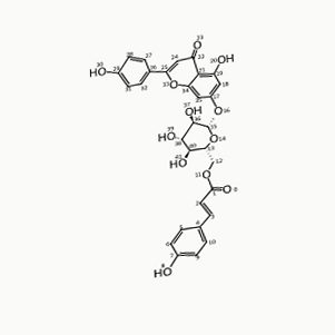 O=C(/C=C/c1ccc(O)cc1)OC[C@H]1O[C@@H](Oc2cc(O)c3c(=O)cc(-c4ccc(O)cc4)oc3c2)[C@H](O)[C@@H](O)[C@@H]1O